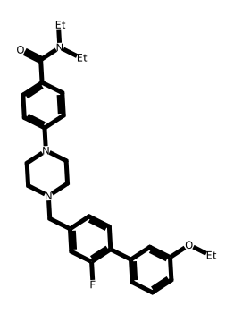 CCOc1cccc(-c2ccc(CN3CCN(c4ccc(C(=O)N(CC)CC)cc4)CC3)cc2F)c1